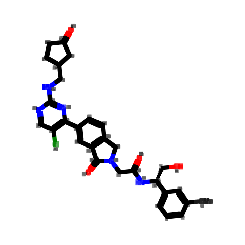 COc1cccc([C@@H](CO)NC(=O)CN2Cc3ccc(-c4nc(NCC5CCC(=O)C5)ncc4Cl)cc3C2=O)c1